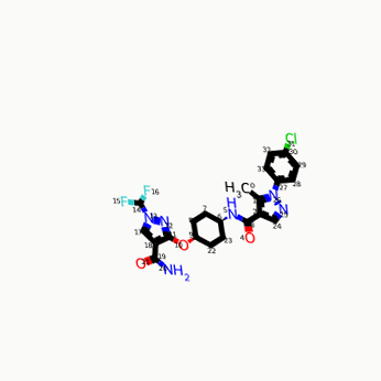 Cc1c(C(=O)N[C@H]2CC[C@H](Oc3nn(C(F)F)cc3C(N)=O)CC2)cnn1-c1ccc(Cl)cc1